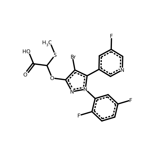 CSC(Oc1nn(-c2cc(F)ccc2F)c(-c2cncc(F)c2)c1Br)C(=O)O